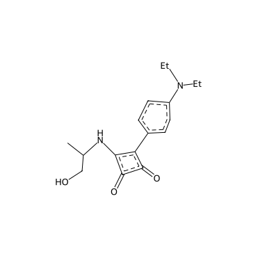 CCN(CC)c1ccc(-c2c(NC(C)CO)c(=O)c2=O)cc1